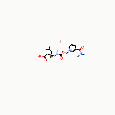 CC(C)C[C@](C)(CNC(=O)OC[n+]1cccc(C(=O)N(C)C)c1)CC(=O)O.[I-]